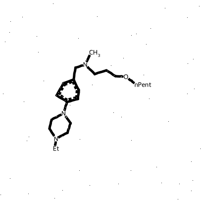 CCCCCOCCCN(C)Cc1ccc(N2CCN(CC)CC2)cc1